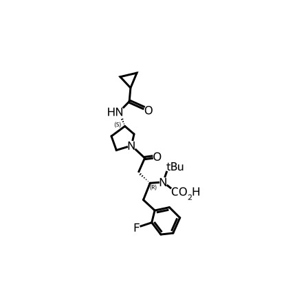 CC(C)(C)N(C(=O)O)[C@@H](CC(=O)N1CC[C@H](NC(=O)C2CC2)C1)Cc1ccccc1F